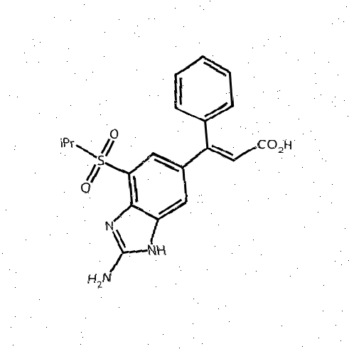 CC(C)S(=O)(=O)c1cc(C(=CC(=O)O)c2ccccc2)cc2[nH]c(N)nc12